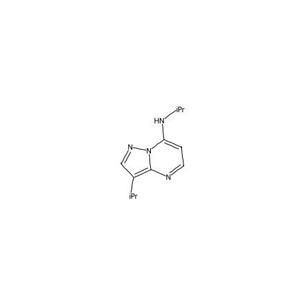 CC(C)Nc1ccnc2c(C(C)C)cnn12